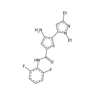 CCc1cc(-c2sc(C(=O)Nc3c(F)cccc3F)cc2N)n(CC)n1